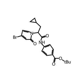 CC(C)(C)OC(=O)c1ccc(NC(=O)C(CC2CC2)n2ccc(Br)cc2=O)cc1